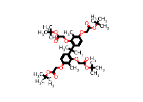 Cc1c(OCC(=O)OC(C)(C)C)ccc(C(C)(C)c2ccc(OCC(=O)OC(C)(C)C)c(C)c2OCC(=O)OC(C)(C)C)c1OCC(=O)OC(C)(C)C